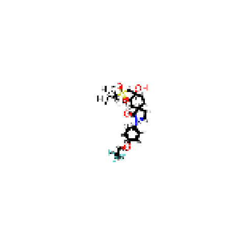 CC(C)(C)S(=O)(=O)CC1(O)CCC2(CCN(c3ccc(OCC(F)(F)F)cc3)C2=O)CC1